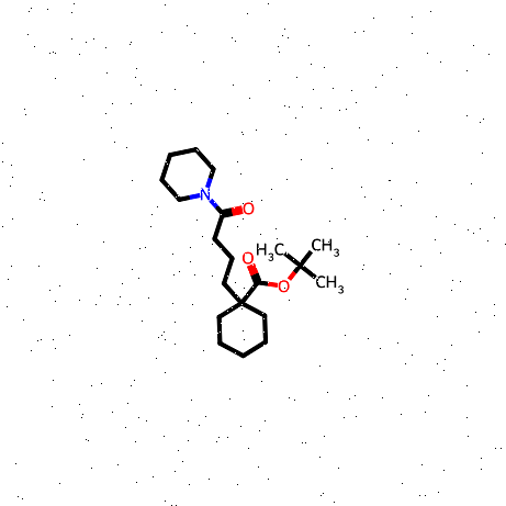 CC(C)(C)OC(=O)C1(CCCC(=O)N2CCCCC2)CCCCC1